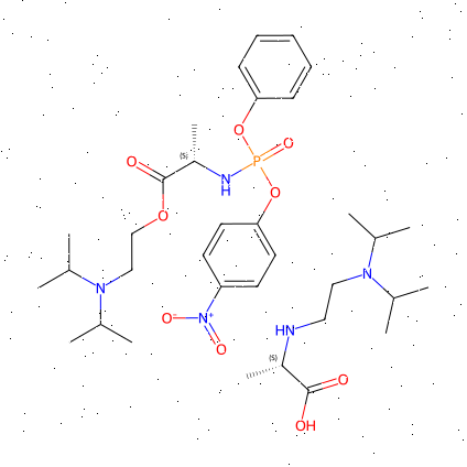 CC(C)N(CCN[C@@H](C)C(=O)O)C(C)C.CC(C)N(CCOC(=O)[C@H](C)NP(=O)(Oc1ccccc1)Oc1ccc([N+](=O)[O-])cc1)C(C)C